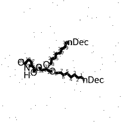 CCCCCCCCCCCCCCCCCCOCC(COC(=O)C1CCC(=O)N1)OCCCCCCCCCCCCCCCCCC